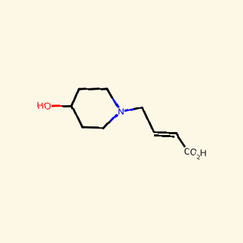 O=C(O)C=CCN1CCC(O)CC1